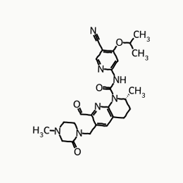 CC(C)Oc1cc(NC(=O)N2c3nc(C=O)c(CN4CCN(C)CC4=O)cc3CC[C@H]2C)ncc1C#N